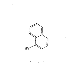 C[C](C)c1cccc2cccnc12